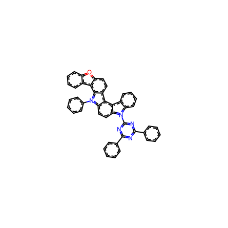 c1ccc(-c2nc(-c3ccccc3)nc(-n3c4ccccc4c4c5c6ccc7oc8ccccc8c7c6n(-c6ccccc6)c5ccc43)n2)cc1